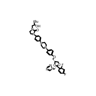 CC(C)(C)C(O)CN1CCN(c2ccc(N3CCN(c4ccc(OC[C@@H]5CO[C@@](Cn6cncn6)(c6ccc(F)cc6F)O5)cc4)CC3)cc2)C1=O